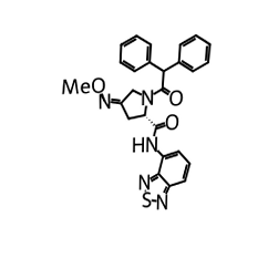 CON=C1C[C@@H](C(=O)Nc2cccc3nsnc23)N(C(=O)C(c2ccccc2)c2ccccc2)C1